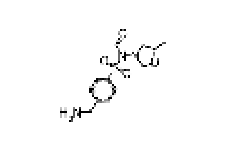 CC1CN(N(C=O)S(=O)(=O)c2ccc(CN)cc2)CO1